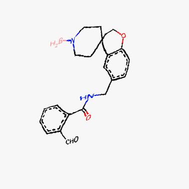 BN1CCC2(CC1)COc1ccc(CNC(=O)c3ccccc3C=O)cc12